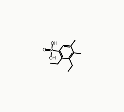 CCc1c(P(=O)(O)O)cc(C)c(C)c1CC